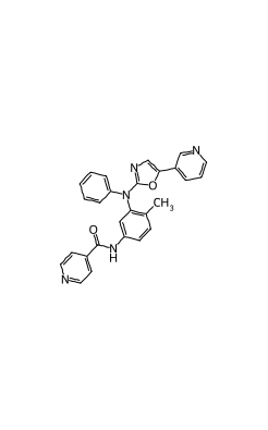 Cc1ccc(NC(=O)c2ccncc2)cc1N(c1ccccc1)c1ncc(-c2cccnc2)o1